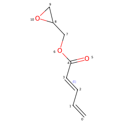 C=C/C=C/C(=O)OCC1CO1